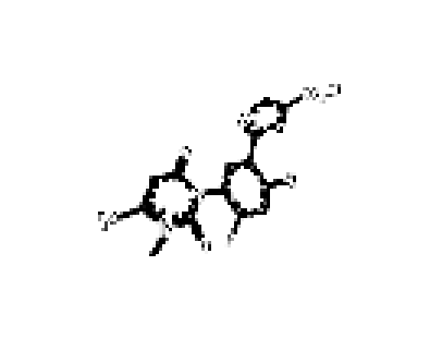 CCOC(=O)c1cnc(-c2cc(-n3c(=O)cc(C(F)(F)F)n(C)c3=O)c(F)cc2Cl)s1